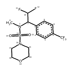 CN(C(c1ccc(C(F)(F)F)cc1)C(F)F)S(=O)(=O)N1CCOCC1